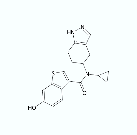 O=C(c1csc2cc(O)ccc12)N(C1CC1)C1CCc2[nH]ncc2C1